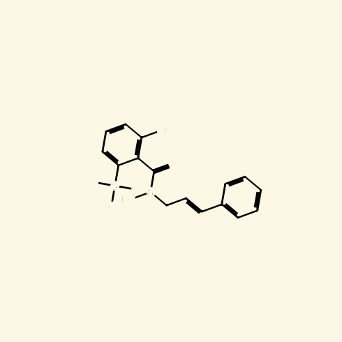 CN(CC=Cc1ccccc1)C(=O)c1c(Cl)cccc1[Si](C)(C)C